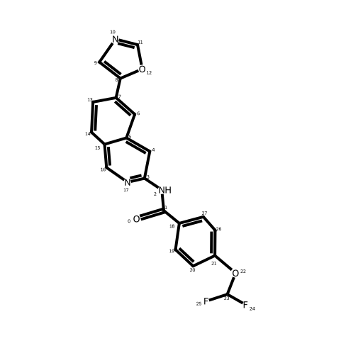 O=C(Nc1cc2cc(-c3cnco3)ccc2cn1)c1ccc(OC(F)F)cc1